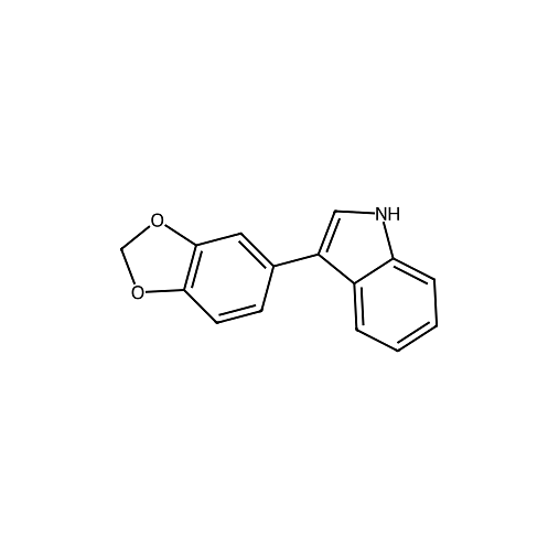 c1ccc2c(-c3ccc4c(c3)OCO4)c[nH]c2c1